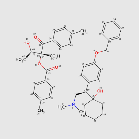 CN(C)C[C@@H](c1ccc(OCc2ccccc2)cc1)C1(O)CCCCC1.Cc1ccc(C(=O)O[C@@](C(=O)O)(C(=O)c2ccc(C)cc2)[C@H](O)C(=O)O)cc1